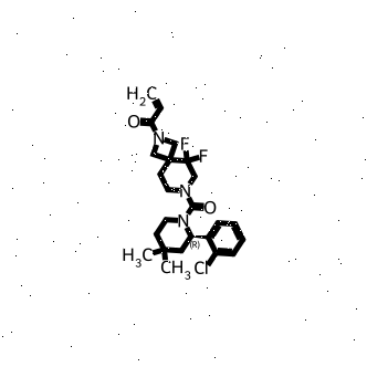 C=CC(=O)N1CC2(CCN(C(=O)N3CCC(C)(C)C[C@@H]3c3ccccc3Cl)CC2(F)F)C1